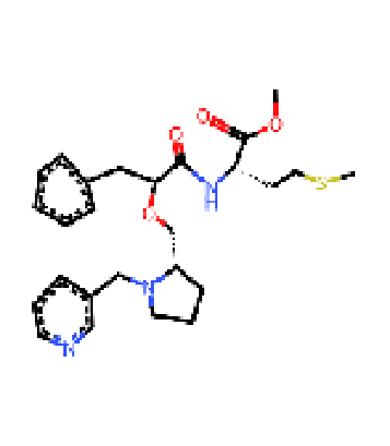 COC(=O)[C@H](CCSC)NC(=O)C(Cc1ccccc1)OC[C@@H]1CCCN1Cc1cccnc1